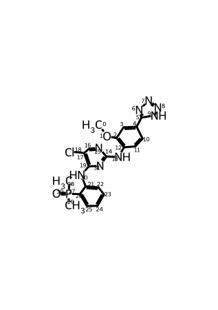 COc1cc(-c2nnn[nH]2)ccc1Nc1ncc(Cl)c(Nc2ccccc2P(C)(C)=O)n1